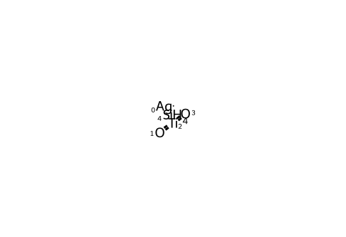 [Ag].[O]=[Ti]=[O].[SiH4]